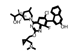 CC1CN(c2nc(OCC3(CN(C)C)CC3)nc3c(F)c(-c4cc(O)cc5ccccc45)c(Cl)cc23)C[C@@](C)([C@H](C)C(C)O)C1